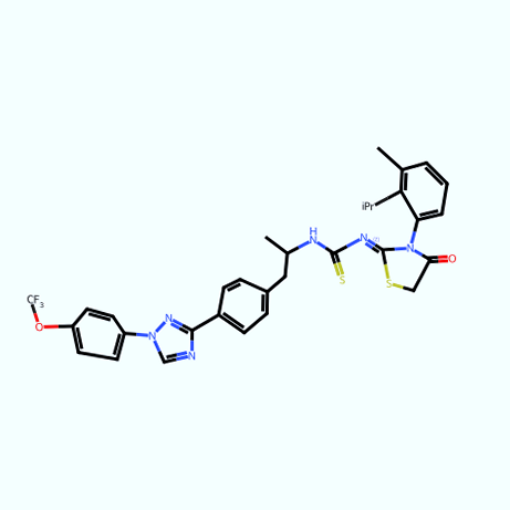 Cc1cccc(N2C(=O)CS/C2=N\C(=S)NC(C)Cc2ccc(-c3ncn(-c4ccc(OC(F)(F)F)cc4)n3)cc2)c1C(C)C